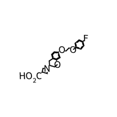 O=C(O)C1CN(C2COc3cc(OCCOc4ccc(F)cc4)ccc3C2)C1